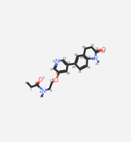 CCC(=O)N(C)CCOc1cncc(-c2ccc3c(c2)CCC(=O)N3C)c1